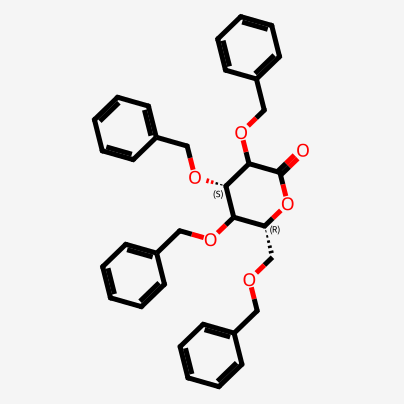 O=C1O[C@H](COCc2ccccc2)C(OCc2ccccc2)[C@H](OCc2ccccc2)C1OCc1ccccc1